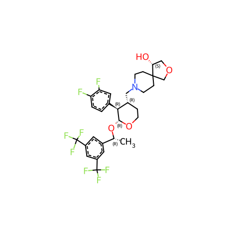 C[C@@H](O[C@H]1OCC[C@@H](CN2CCC3(CC2)COC[C@H]3O)[C@@H]1c1ccc(F)c(F)c1)c1cc(C(F)(F)F)cc(C(F)(F)F)c1